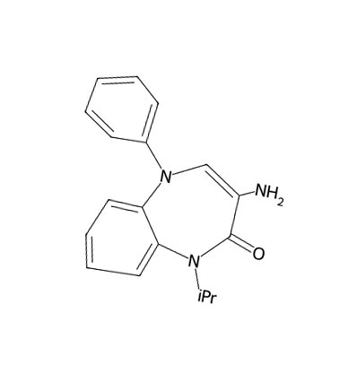 CC(C)N1C(=O)C(N)=CN(c2ccccc2)c2ccccc21